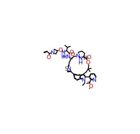 C=CC(=O)N1CC(ONC(C(=O)N[C@H]2Cc3nc(cs3)-c3ccc4c(c3)c(c(-c3cccnc3[C@H](C)OC)n4CC)CC(C)(C)COC(=O)[C@@H]3CCCN(N3)C2=O)C(C)C)C1